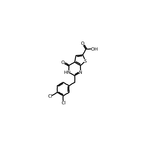 O=C(O)c1cc2c(=O)[nH]c(Cc3ccc(Cl)c(Cl)c3)nc2s1